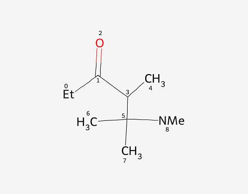 CCC(=O)C(C)C(C)(C)NC